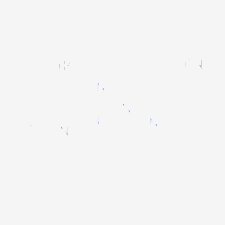 Cc1nc2c(n1-c1nc3c(c(C(C)(C)C)n1)OC[C@@H]1COCCN31)CCC(C#N)=C2